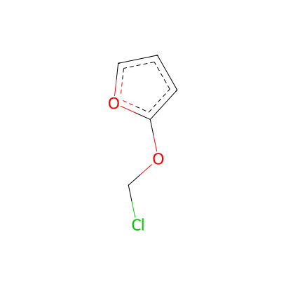 ClCOc1ccco1